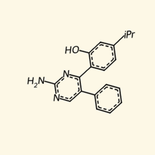 CC(C)c1ccc(-c2nc(N)ncc2-c2ccccc2)c(O)c1